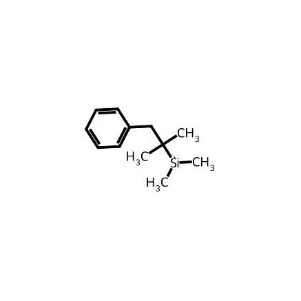 C[Si](C)C(C)(C)Cc1ccccc1